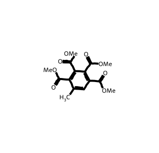 COC(=O)c1cc(C)c(C(=O)OC)c(C(=O)OC)c1C(=O)OC